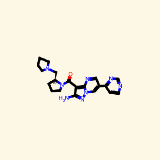 Nc1nn2cc(-c3ccncn3)cnc2c1C(=O)N1CCC[C@H]1CN1CCCC1